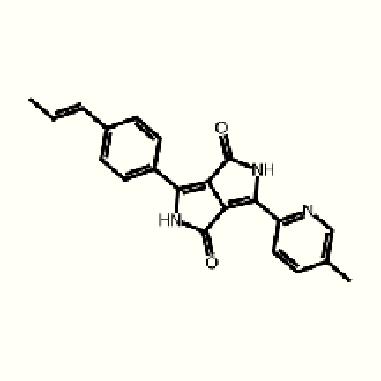 C/C=C/c1ccc(C2=C3C(=O)NC(c4ccc(C)cn4)=C3C(=O)N2)cc1